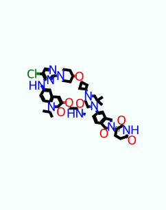 CNC(=O)COc1cc2cc(Nc3nc(N4CCC(OC5CC(N6CCN(c7ccc8c(c7)CN([C@H]7CCC(=O)NC7=O)C8=O)C(C)(C)C6)C5)CC4)ncc3Cl)ccc2n(C(C)C)c1=O